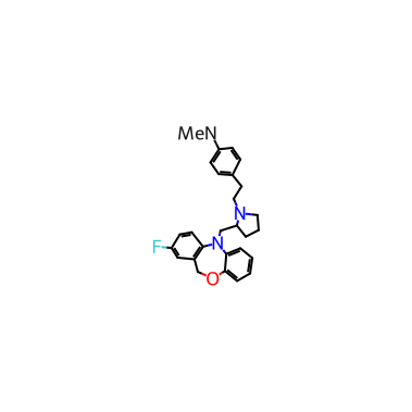 CNc1ccc(CCN2CCCC2CN2c3ccc(F)cc3COc3ccccc32)cc1